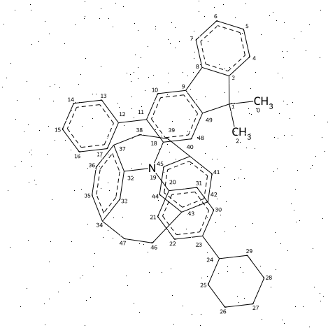 CC1(C)c2ccccc2-c2cc(-c3ccccc3)c(N(c3ccc(C4CCCCC4)cc3)c3cc4ccc3CCc3ccc(cc3)CC4)cc21